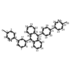 Cc1ccc(-c2cccc(-c3c4ccccc4c(-c4ccc(-c5ccc(C)nc5)cc4)c4ccccc34)c2)nc1